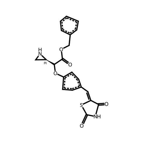 O=C1NC(=O)C(=Cc2ccc(OC(C(=O)OCc3ccccc3)[C@H]3CN3)cc2)S1